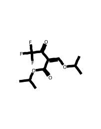 CC(C)OC=C(C(=O)OC(C)C)C(=O)C(F)(F)F